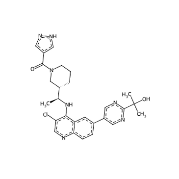 C[C@H](Nc1c(Cl)cnc2ccc(-c3cnc(C(C)(C)O)nc3)cc12)[C@H]1CCCN(C(=O)c2cn[nH]c2)C1